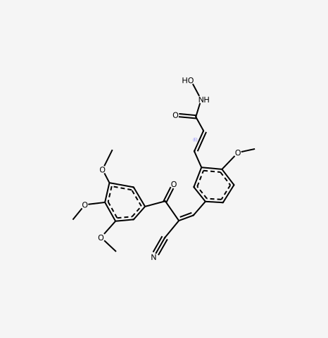 COc1ccc(C=C(C#N)C(=O)c2cc(OC)c(OC)c(OC)c2)cc1/C=C/C(=O)NO